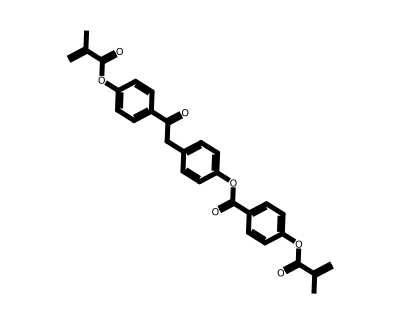 C=C(C)C(=O)Oc1ccc(C(=O)Cc2ccc(OC(=O)c3ccc(OC(=O)C(=C)C)cc3)cc2)cc1